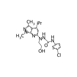 Cc1nn(C)c2nc(N(CCO)NC(=O)Nc3ccc(Cl)s3)cc(C(C)C)c12